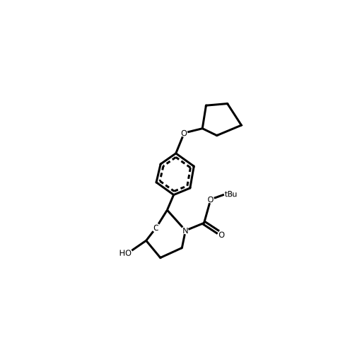 CC(C)(C)OC(=O)N1CCC(O)CC1c1ccc(OC2CCCC2)cc1